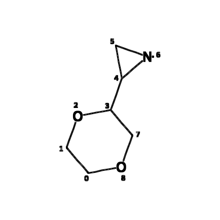 C1COC(C2C[N]2)CO1